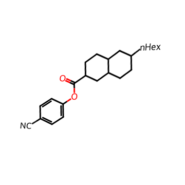 CCCCCCC1CCC2CC(C(=O)Oc3ccc(C#N)cc3)CCC2C1